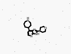 c1cc(C2CCCNCC2)c2nc(C3CCOCC3)[nH]c2n1